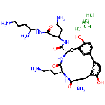 Cl.Cl.Cl.Cl.Cl.NCCC[C@H](N)CNC(=O)CC(CCN)NC(=O)[C@@H]1Cc2cc(ccc2O)-c2ccc(O)c(c2)C[C@H](N)C(=O)N[C@@H](CCCN)C(=O)N1